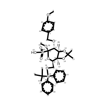 COc1ccc(CO[C@@H]2[C@H]3OC(C)(C)O[C@H]3[C@@H](CO[Si](c3ccccc3)(c3ccccc3)C(C)(C)C)O[C@]2(OC)S(=O)(=O)O)cc1